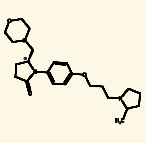 CC1CCCN1CCCOc1ccc(N2C(=O)CC[C@H]2CN2CCOCC2)cc1